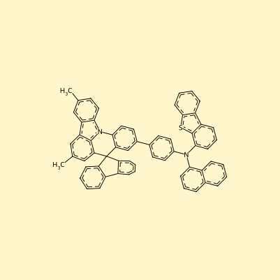 Cc1ccc2c(c1)c1cc(C)cc3c1n2-c1ccc(-c2ccc(N(c4cccc5ccccc45)c4cccc5c4sc4ccccc45)cc2)cc1C31c2ccccc2-c2ccccc21